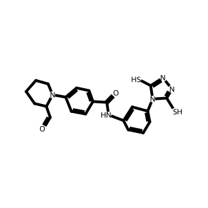 O=CC1CCCCN1c1ccc(C(=O)Nc2cccc(-n3c(S)nnc3S)c2)cc1